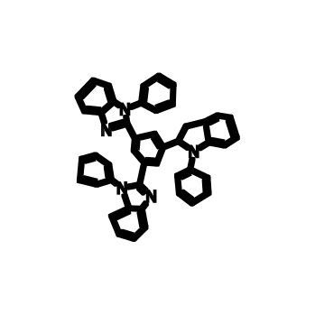 c1ccc(N2c3ccccc3CC2c2cc(-c3nc4ccccc4n3-c3ccccc3)cc(-c3nc4ccccc4n3-c3ccccc3)c2)cc1